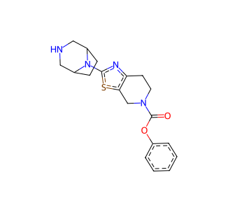 O=C(Oc1ccccc1)N1CCc2nc(N3C4CCC3CNC4)sc2C1